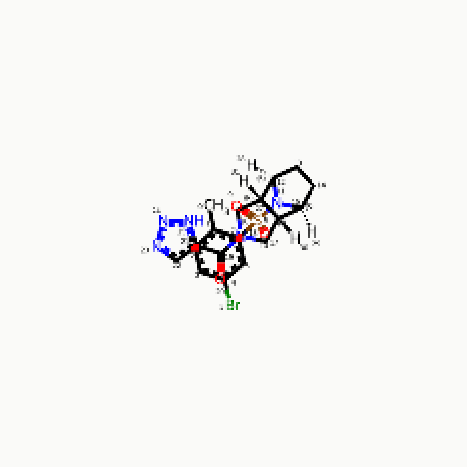 Cc1ccc(Br)cc1S(=O)(=O)N1[C@@H]2CC[C@H]1[C@@H]1CN(C(=O)c3cnn[nH]3)C[C@@H]12